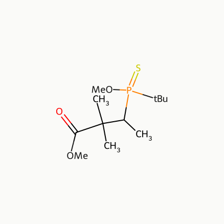 COC(=O)C(C)(C)C(C)P(=S)(OC)C(C)(C)C